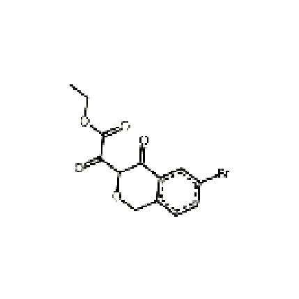 CCOC(=O)C(=O)C1OCc2ccc(Br)cc2C1=O